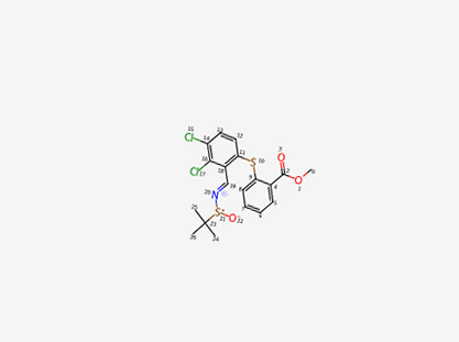 COC(=O)c1ccccc1Sc1ccc(Cl)c(Cl)c1/C=N/[S+]([O-])C(C)(C)C